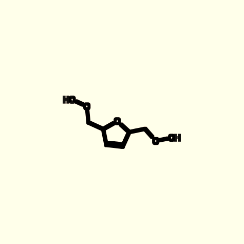 OOCC1C=CC(COO)O1